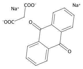 O=C([O-])CC(=O)[O-].O=C1c2ccccc2C(=O)c2ccccc21.[Na+].[Na+]